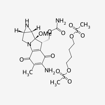 CO[C@@]12[C@H](COC(N)=O)C3=C(C(=O)C(C)=C(N)C3=O)N1C[C@@H]1N[C@@H]12.CS(=O)(=O)OCCCCOS(C)(=O)=O